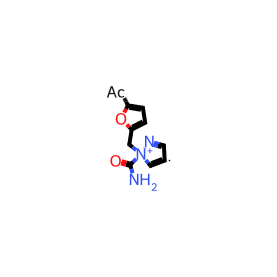 CC(=O)c1ccc(C[N+]2(C(N)=O)C=[C]C=N2)o1